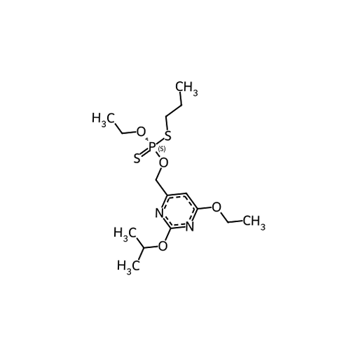 CCCS[P@@](=S)(OCC)OCc1cc(OCC)nc(OC(C)C)n1